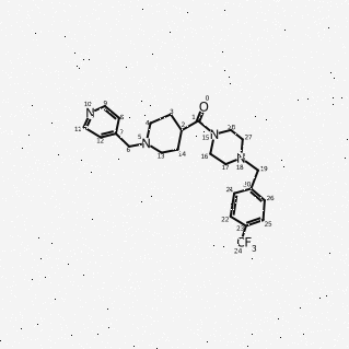 O=C(C1CCN(Cc2ccncc2)CC1)N1CCN(Cc2ccc(C(F)(F)F)cc2)CC1